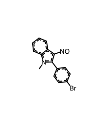 Cn1c(-c2ccc(Br)cc2)c(N=O)c2ccccc21